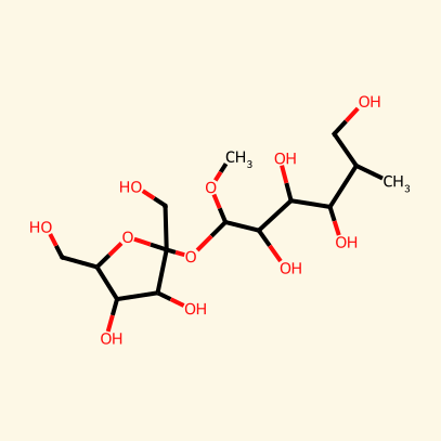 COC(OC1(CO)OC(CO)C(O)C1O)C(O)C(O)C(O)C(C)CO